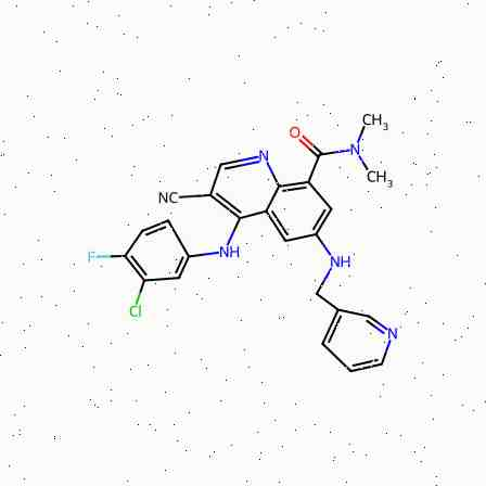 CN(C)C(=O)c1cc(NCc2cccnc2)cc2c(Nc3ccc(F)c(Cl)c3)c(C#N)cnc12